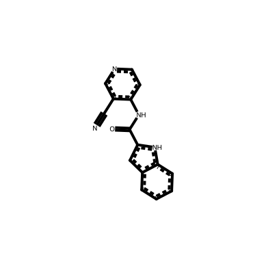 N#Cc1cnccc1NC(=O)c1cc2ccccc2[nH]1